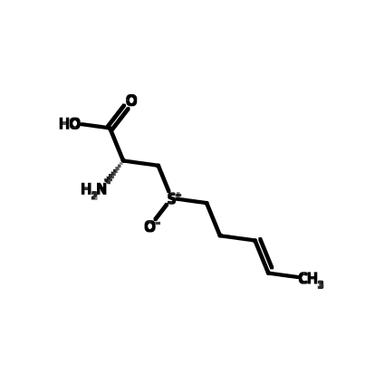 CC=CCC[S+]([O-])C[C@H](N)C(=O)O